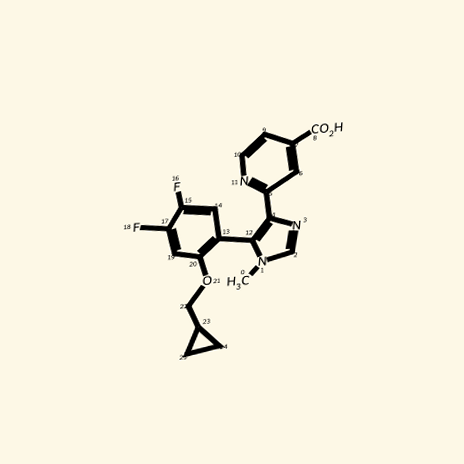 Cn1cnc(-c2cc(C(=O)O)ccn2)c1-c1cc(F)c(F)cc1OCC1CC1